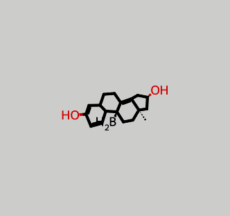 B[C@]12CC[C@]3(C)C[C@H](O)CC3=C1CCC1C=C(O)C=CC12